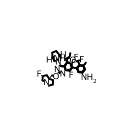 Cc1cc2c(o1)c(-c1cc(N)cc(C)c1C(F)(F)F)c(F)c1nc(OC[C@@]34CCCN3C[C@H](F)C4)nc(N3C[C@H]4CC[C@@H](C3)N4)c12